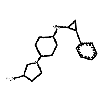 NC1CCN(C2CCC(NC3CC3c3ccccc3)CC2)C1